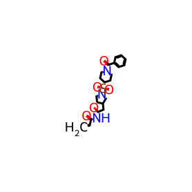 C=CC(=O)NC1CC2CN(S(=O)(=O)C3CCN(C(=O)c4ccccc4)CC3)CC2O1